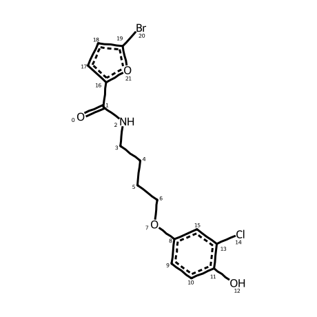 O=C(NCCCCOc1ccc(O)c(Cl)c1)c1ccc(Br)o1